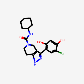 O=C(NC1CCCCC1)N1CCc2[nH]nc(-c3cc(Cl)c(O)cc3O)c2C1